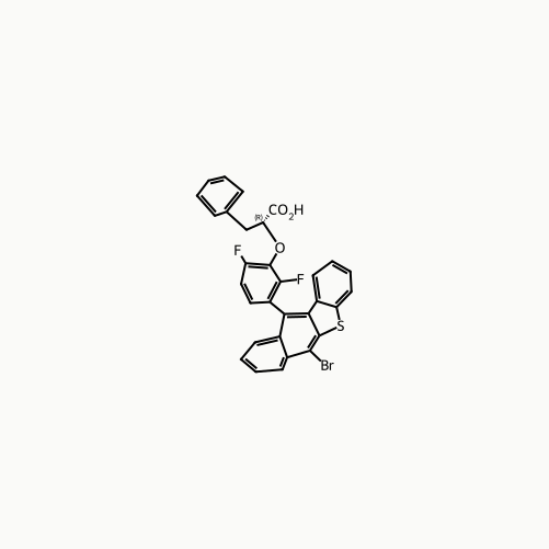 O=C(O)[C@@H](Cc1ccccc1)Oc1c(F)ccc(-c2c3ccccc3c(Br)c3sc4ccccc4c23)c1F